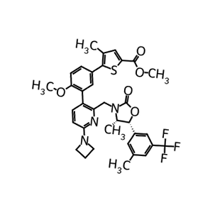 COC(=O)c1cc(C)c(-c2ccc(OC)c(-c3ccc(N4CCC4)nc3CN3C(=O)O[C@H](c4cc(C)cc(C(F)(F)F)c4)[C@@H]3C)c2)s1